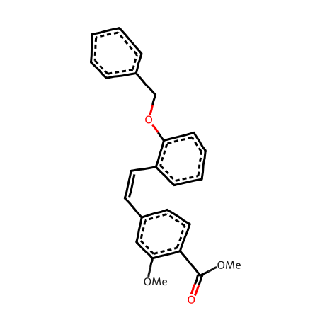 COC(=O)c1ccc(/C=C\c2ccccc2OCc2ccccc2)cc1OC